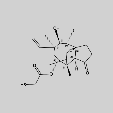 C=C[C@]1(C)C[C@@H](OC(=O)CS)[C@]2(C)C(C)CC[C@]3(CCC(=O)[C@H]32)[C@@H](C)[C@@H]1O